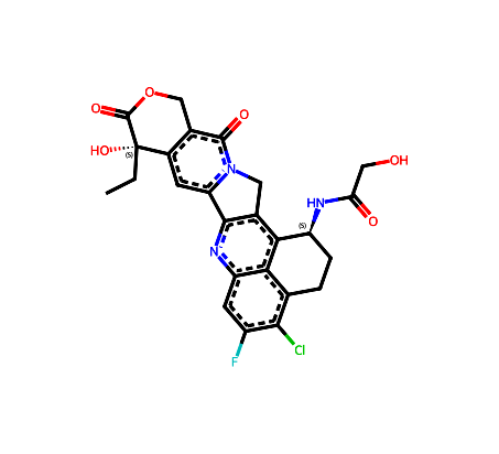 CC[C@@]1(O)C(=O)OCc2c1cc1n(c2=O)Cc2c-1nc1cc(F)c(Cl)c3c1c2[C@@H](NC(=O)CO)CC3